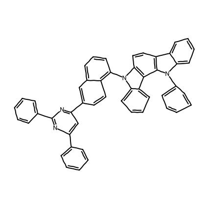 c1ccc(-c2cc(-c3ccc4c(-n5c6ccccc6c6c5ccc5c7ccccc7n(-c7ccccc7)c56)cccc4c3)nc(-c3ccccc3)n2)cc1